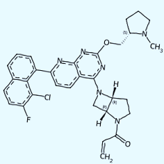 C=CC(=O)N1CC[C@@H]2[C@H]1CN2c1nc(OC[C@@H]2CCCN2C)nc2nc(-c3cccc4ccc(F)c(Cl)c34)ccc12